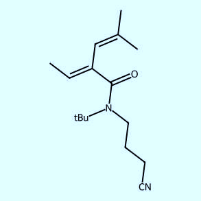 C/C=C(\C=C(C)C)C(=O)N(CCCC#N)C(C)(C)C